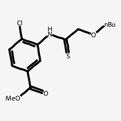 CCCCOCC(=S)Nc1cc(C(=O)OC)ccc1Cl